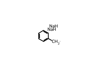 [CH2]c1ccccc1.[NaH].[NaH]